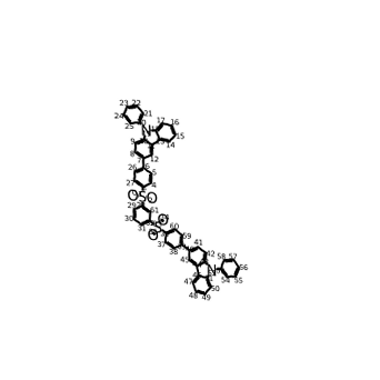 O=S(=O)(c1ccc(-c2ccc3c(c2)c2ccccc2n3-c2ccccc2)cc1)c1cccc(S(=O)(=O)c2ccc(-c3ccc4c(c3)c3ccccc3n4-c3ccccc3)cc2)c1